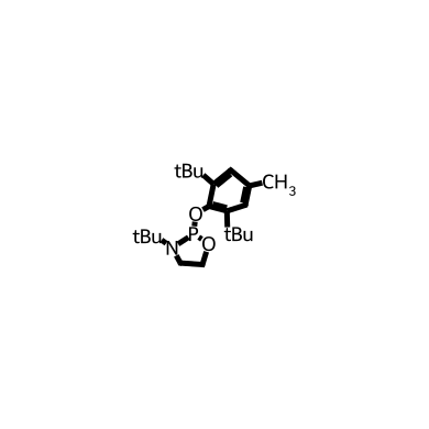 Cc1cc(C(C)(C)C)c(OP2OCCN2C(C)(C)C)c(C(C)(C)C)c1